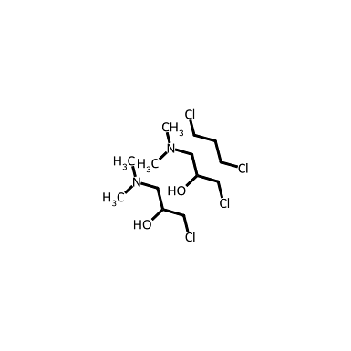 CN(C)CC(O)CCl.CN(C)CC(O)CCl.ClCCCCl